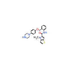 Cn1c(C(=O)Nc2ccccc2COc2ccc(N3CCNCC3)cc2)cc2sccc21